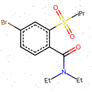 CCN(CC)C(=O)c1ccc(Br)cc1S(=O)(=O)C(C)C